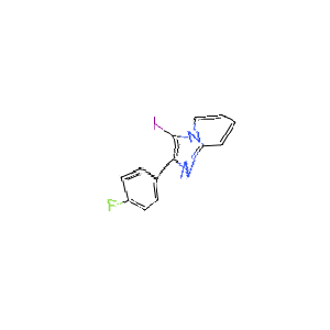 Fc1ccc(-c2nc3ccccn3c2I)cc1